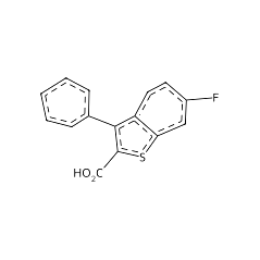 O=C(O)c1sc2cc(F)ccc2c1-c1ccccc1